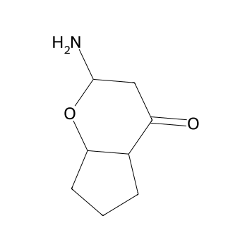 NC1CC(=O)C2CCCC2O1